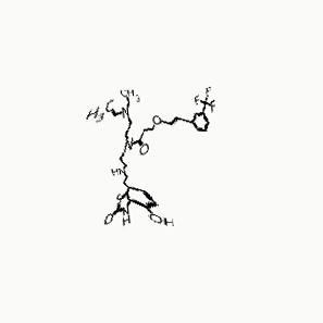 CCN(CC)CCN(CCNCCc1ccc(O)c2[nH]c(=O)sc12)C(=O)CCOCCc1cccc(C(F)(F)F)c1